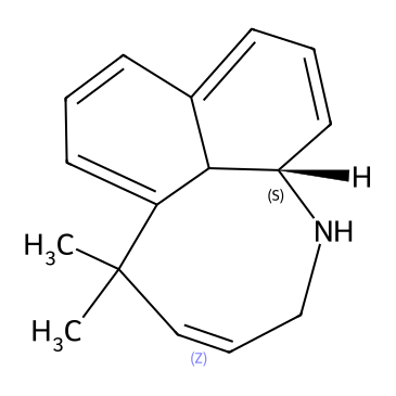 CC1(C)/C=C\CN[C@H]2C=CC=C3C=CC=C1C32